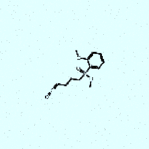 COc1ccccc1P(=O)(CCCC=C=O)OC